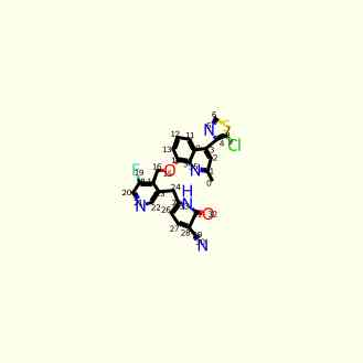 Cc1cc(-c2ncsc2Cl)c2cccc(OCc3c(F)cncc3Cc3ccc(C#N)c(=O)[nH]3)c2n1